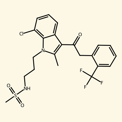 Cc1c(C(=O)Cc2ccccc2C(F)(F)F)c2cccc(Cl)c2n1CCCNS(C)(=O)=O